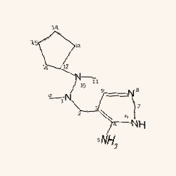 CN(CC1=C(N)NCN=C1)N(C)C1CCCC1